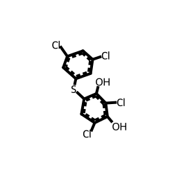 Oc1c(Cl)cc(Sc2cc(Cl)cc(Cl)c2)c(O)c1Cl